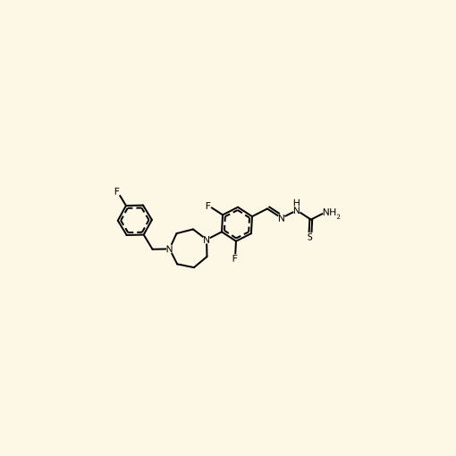 NC(=S)N/N=C/c1cc(F)c(N2CCCN(Cc3ccc(F)cc3)CC2)c(F)c1